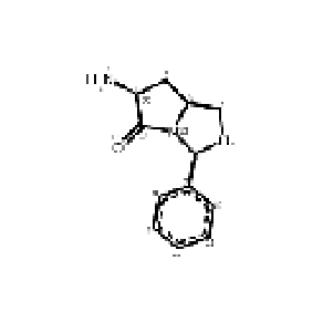 N[C@H]1CC2COC(c3ccccc3)N2C1=O